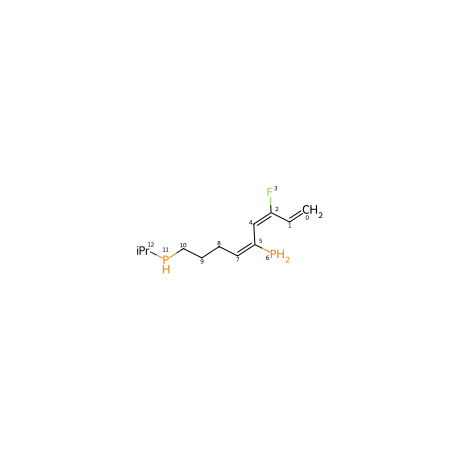 C=C/C(F)=C\C(P)=C/CCCPC(C)C